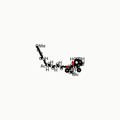 COCCOCCOCCC(=O)NCCCCC(NC(=O)CNC(=O)CNC(=O)CNC(=O)CCCC(=O)O[C@@H](C(=O)O[C@H]1C[C@@]2(O)[C@@H](OC(=O)c3ccccc3)[C@@H]3[C@]4(OC(C)=O)CO[C@@H]4C[C@H](O)[C@@]3(C)C(=O)C(O)C(=C1C)C2(C)C)[C@@H](NC(=O)OC(C)(C)C)c1ccccc1)C(C)=O